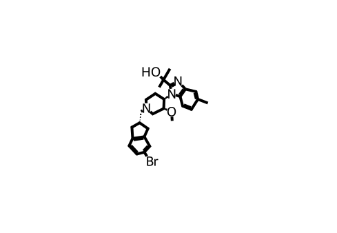 CO[C@H]1CN(C[C@H]2Cc3ccc(Br)cc3C2)CC[C@H]1n1c(C(C)(C)O)nc2cc(C)ccc21